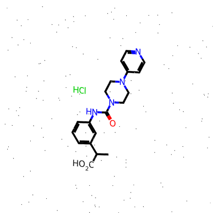 CC(C(=O)O)c1cccc(NC(=O)N2CCN(c3ccncc3)CC2)c1.Cl